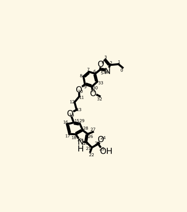 CCc1coc(-c2ccc(OCCCOc3ccc4[nH]c(C(C)C(=O)O)c(C)c4c3)c(OC)c2)n1